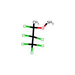 CC(Cl)(O[SiH3])C(Cl)(Cl)C(Cl)(Cl)Cl